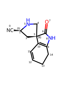 N#C[C@@H]1C[C@@]2(CN1)C(=O)NC1=C2C=CCC1